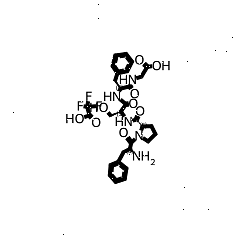 N[C@@H](Cc1ccccc1)C(=O)N1CCC[C@H]1C(=O)N[C@@H](CO)C(=O)N[C@@H](Cc1ccccc1)C(=O)NCC(=O)O.O=C(O)C(F)(F)F